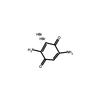 Br.Br.NC1=CC(=O)C(N)=CC1=O